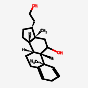 C[C@]12CC(O)[C@H]3[C@@H](CCC4=CCC=C[C@@]43C)[C@@H]1CC[C@@H]2CCO